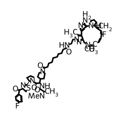 C=C1/C=C(F)\C=C/CC(=O)N(C)Cc2nn(CCNC(=O)CCCCCCCCC(=O)N3CCC([C@@H](NC(=O)[C@@H](C)NC)C(=O)N4CCC[C@@H]4C4=NC(C(=O)c5ccc(F)cc5)CS4)CC3)c(C)c2-c2cnc(N)c(c2)N2CCC[C@H]12